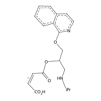 CC(C)NCC(COc1nccc2ccccc12)OC(=O)/C=C\C(=O)O